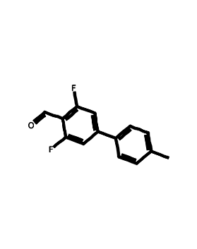 Cc1ccc(-c2cc(F)c(C=O)c(F)c2)cc1